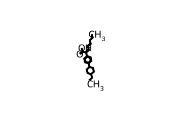 CCCC=CC=C(C(=O)O)c1ccc(C2CCC(CCC)CC2)cc1